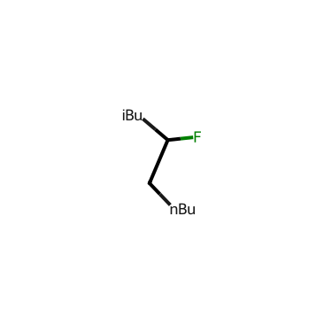 CCCCCC(F)C(C)CC